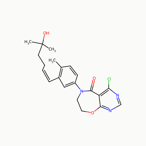 Cc1ccc(N2CCOc3ncnc(Cl)c3C2=O)cc1/C=C\CCC(C)(C)O